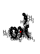 CC(=O)NCCNC(=O)C1=C(C)c2c(C)c3c(cc2=N1)-c1ccccc1N=3.CC1=C(C(=O)NCCCl)N=c2cc3c(c(C)c21)=Nc1ccccc1-3.CC1=C(C(=O)NCCN)N=c2cc3c(c(C)c21)=Nc1ccccc1-3.CC1=C(C(=O)NCCO)N=c2cc3c(c(C)c21)=Nc1ccccc1-3.CCC(CO)NC(=O)C1=C(C)c2c(C)c3c(cc2=N1)-c1ccccc1N=3